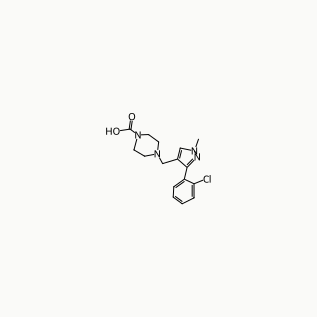 Cn1cc(CN2CCN(C(=O)O)CC2)c(-c2ccccc2Cl)n1